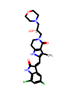 Cc1c(/C=C2\C(=O)Nc3c(Br)cc(F)cc32)[nH]c2c1C(=O)N(C[C@H](O)CN1CCOCC1)CC2